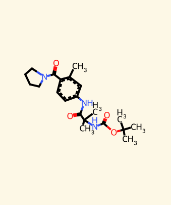 Cc1cc(NC(=O)C(C)(C)NC(=O)OC(C)(C)C)ccc1C(=O)N1CCCC1